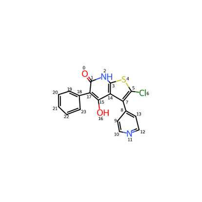 O=c1[nH]c2sc(Cl)c(-c3ccncc3)c2c(O)c1-c1ccccc1